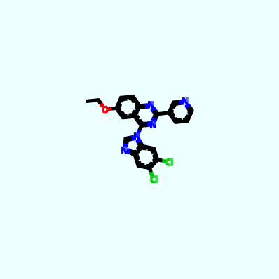 CCOc1ccc2nc(-c3cccnc3)nc(-n3cnc4cc(Cl)c(Cl)cc43)c2c1